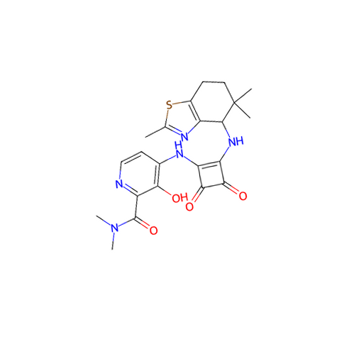 Cc1nc2c(s1)CCC(C)(C)C2Nc1c(Nc2ccnc(C(=O)N(C)C)c2O)c(=O)c1=O